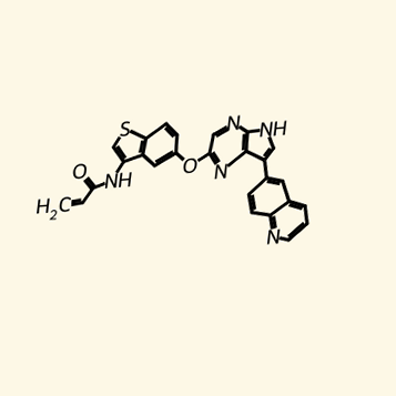 C=CC(=O)Nc1csc2ccc(Oc3cnc4[nH]cc(-c5ccc6ncccc6c5)c4n3)cc12